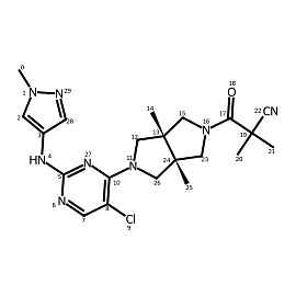 Cn1cc(Nc2ncc(Cl)c(N3C[C@]4(C)CN(C(=O)C(C)(C)C#N)C[C@]4(C)C3)n2)cn1